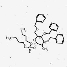 CCCCOP(=O)(OCCCC)O[C@@H]1OC(COCc2ccccc2)[C@@H](OCc2ccccc2)[C@@H](OCc2ccccc2)C1C